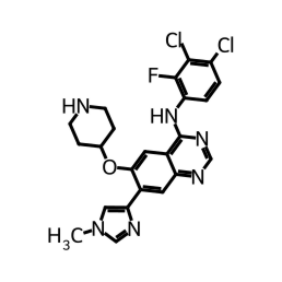 Cn1cnc(-c2cc3ncnc(Nc4ccc(Cl)c(Cl)c4F)c3cc2OC2CCNCC2)c1